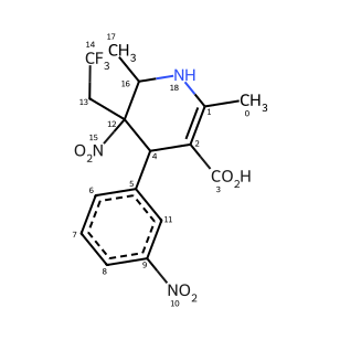 CC1=C(C(=O)O)C(c2cccc([N+](=O)[O-])c2)C(CC(F)(F)F)([N+](=O)[O-])C(C)N1